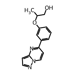 CC(CO)Oc1cccc(-c2ccn3nccc3n2)c1